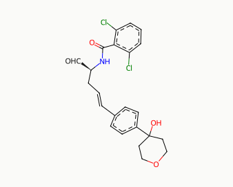 O=C[C@H](C/C=C/c1ccc(C2(O)CCOCC2)cc1)NC(=O)c1c(Cl)cccc1Cl